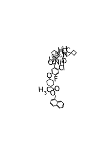 CC1(CNC(=O)[C@H]2[C@@H]3CC[C@@H](C3)[C@H]2NC(=O)c2cc(OC3CCC(C)(C(=O)OCc4cccc5ccccc45)CC3)c(F)cc2Cl)CCC1